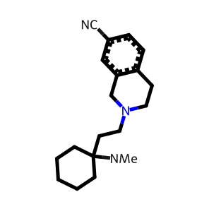 CNC1(CCN2CCc3ccc(C#N)cc3C2)CCCCC1